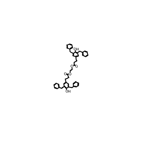 O=C(CCc1cc(Cc2ccccc2)c(O)c(Cc2ccccc2)c1)OCCOC(=O)CCc1cc(Cc2ccccc2)c(O)c(Cc2ccccc2)c1